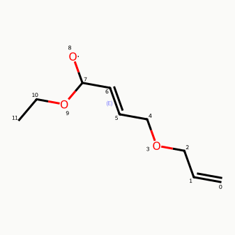 C=CCOC/C=C/C([O])OCC